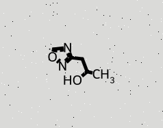 CC(O)Cc1n[c]on1